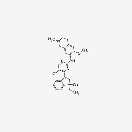 CCC1(C)CN(c2nc(Nc3cc4c(cc3OC)CCN(C)C4)ncc2Cl)c2ccccc21